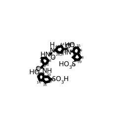 O=C(Nc1ccc(C(=O)Nc2c(O)ccc3ccc(S(=O)(=O)O)cc23)cc1)Nc1ccc(C(=O)Nc2c(O)ccc3ccc(S(=O)(=O)O)cc23)cc1